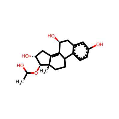 CC(O)O[C@H]1[C@H](O)CC2=C3C(CC[C@@]21C)c1ccc(O)cc1C[C@@H]3O